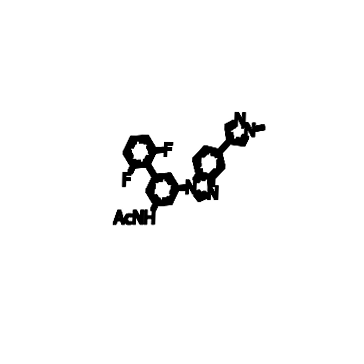 CC(=O)Nc1cc(-c2c(F)cccc2F)cc(-n2cnc3cc(-c4cnn(C)c4)ccc32)c1